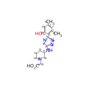 Cc1cc(C)c(-c2ncc(NC3CCCN(CC(=O)O)C3)nn2)c(O)c1